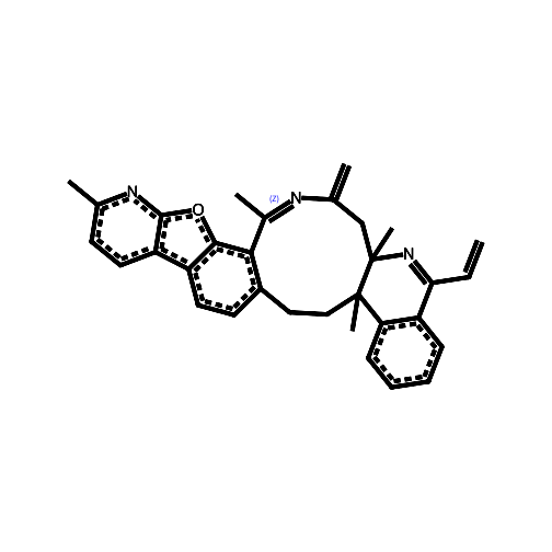 C=CC1=NC2(C)CC(=C)/N=C(/C)c3c(ccc4c3oc3nc(C)ccc34)CCC2(C)c2ccccc21